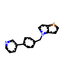 c1cncc(-c2ccc(Cn3ccc4sccc43)cc2)c1